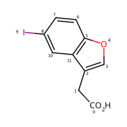 O=C(O)Cc1coc2ccc(I)cc12